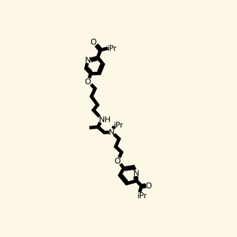 CC(CN(CCCOc1ccc(C(=O)C(C)C)nc1)C(C)C)NCCCCOc1ccc(C(=O)C(C)C)nc1